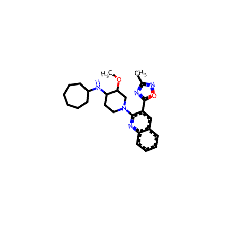 COC1CN(c2nc3ccccc3cc2-c2nc(C)no2)CCC1NC1CCCCCC1